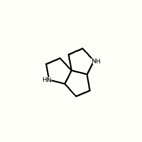 C1CC23CCNC2CCC3N1